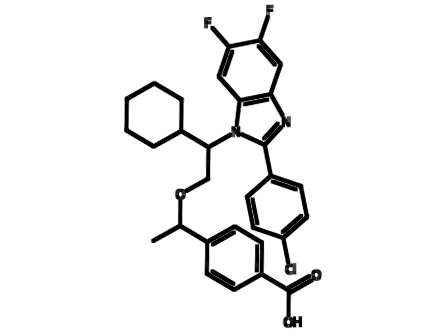 CC(OCC(C1CCCCC1)n1c(-c2ccc(Cl)cc2)nc2cc(F)c(F)cc21)c1ccc(C(=O)O)cc1